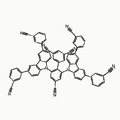 N#Cc1cccc(-c2ccc3c(c2)c2cc(-c4cccc(C#N)c4)ccc2n3-c2cc(C#N)cc(-n3c4ccc(-c5cccc(C#N)c5)cc4c4cc(-c5cccc(C#N)c5)ccc43)c2-c2cc(C#N)cc(C#N)c2)c1